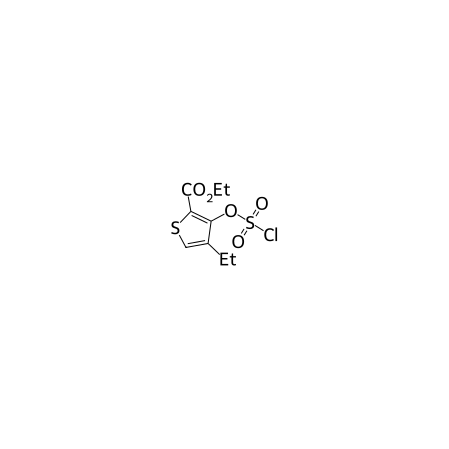 CCOC(=O)c1scc(CC)c1OS(=O)(=O)Cl